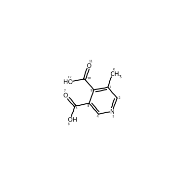 Cc1cncc(C(=O)O)c1C(=O)O